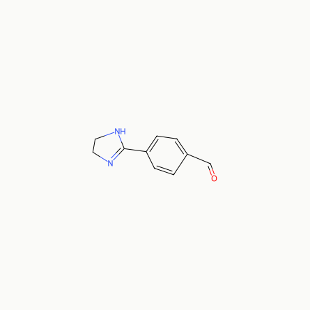 O=Cc1ccc(C2=NCCN2)cc1